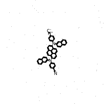 [C-]#[N+]c1ccc(N(c2ccc3ccccc3c2)c2ccc3ccc4c(N(c5ccc(C#N)cc5)c5ccc6ccccc6c5)ccc5ccc2c3c54)cc1